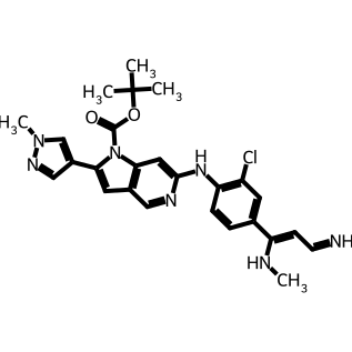 CN/C(=C\C=N)c1ccc(Nc2cc3c(cn2)cc(-c2cnn(C)c2)n3C(=O)OC(C)(C)C)c(Cl)c1